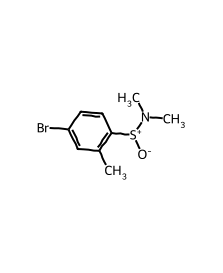 Cc1cc(Br)ccc1[S+]([O-])N(C)C